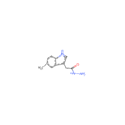 Cc1ccc2[nH]cc(CC(=O)NN)c2c1